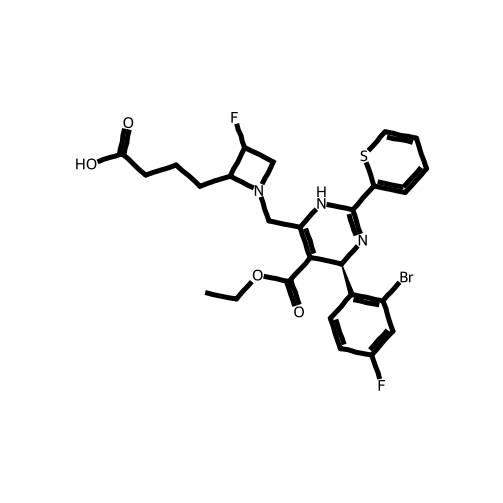 CCOC(=O)C1=C(CN2CC(F)C2CCCC(=O)O)NC(C2=C=CC=CS2)=N[C@H]1c1ccc(F)cc1Br